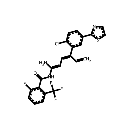 C=C/C(=C\C=C(/N)NC(=O)c1c(F)cccc1C(F)(F)F)c1cc(-c2nccs2)ccc1Cl